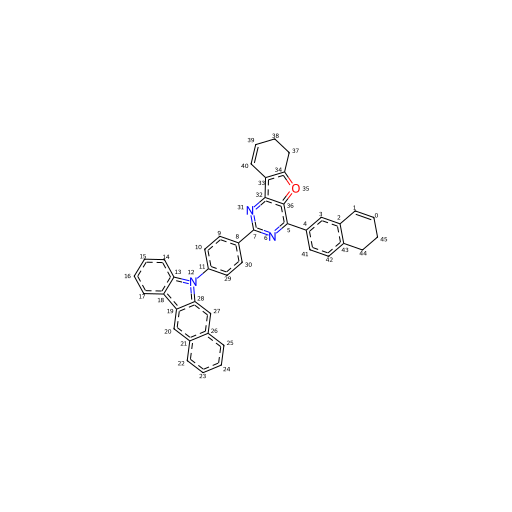 C1=Cc2cc(-c3nc(-c4ccc(-n5c6ccccc6c6cc7ccccc7cc65)cc4)nc4c5c(oc34)CCC=C5)ccc2CC1